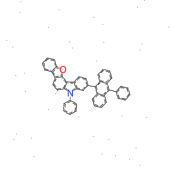 c1ccc(-c2c3ccccc3c(-c3ccc4c5c6oc7ccccc7c6ccc5n(-c5ccccc5)c4c3)c3ccccc23)cc1